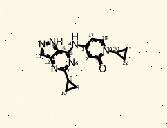 O=c1cc(Nc2nc(C3CC3)nc3cn[nH]c23)ccn1C1CC1